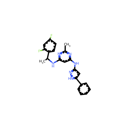 Cc1nc(Nc2cc(-c3ccccc3)[nH]n2)cc(NC(C)c2ccc(F)cc2F)n1